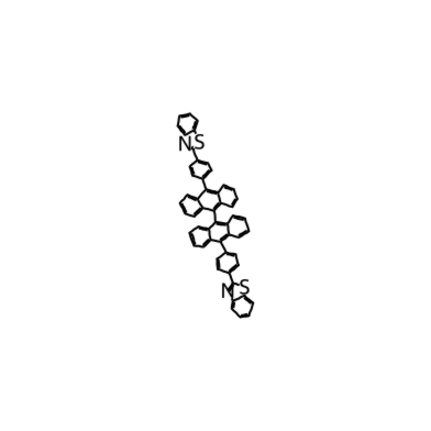 c1ccc2sc(-c3ccc(-c4c5ccccc5c(-c5c6ccccc6c(-c6ccc(-c7nc8ccccc8s7)cc6)c6ccccc56)c5ccccc45)cc3)nc2c1